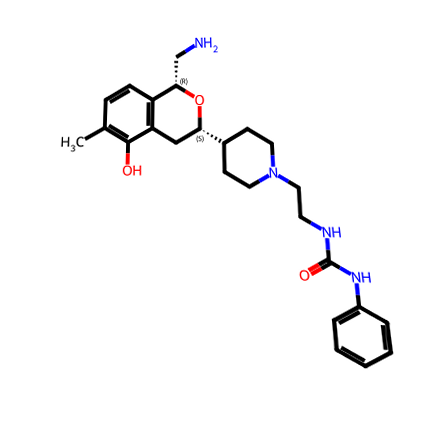 Cc1ccc2c(c1O)C[C@@H](C1CCN(CCNC(=O)Nc3ccccc3)CC1)O[C@H]2CN